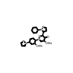 COc1cc(-n2cccn2)ccc1-n1cc(OC)c(=O)c(-c2ccnn2-c2ccccc2)n1